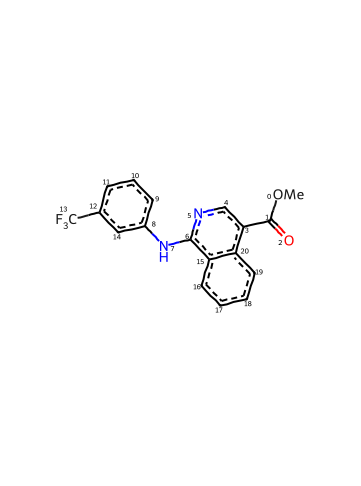 COC(=O)c1cnc(Nc2cccc(C(F)(F)F)c2)c2ccccc12